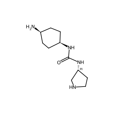 N[C@H]1CC[C@@H](NC(=O)N[C@@H]2CCNC2)CC1